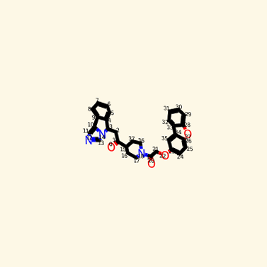 O=C(CC1c2ccccc2-c2cncn21)C1CCN(C(=O)COc2ccc3oc4ccccc4c3c2)CC1